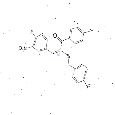 O=C(/C(=C\c1ccc(F)c([N+](=O)[O-])c1)SCc1ccc(F)cc1)c1ccc(F)cc1